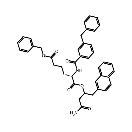 NC(=O)C[C@H](Cc1ccc2ccccc2c1)OC(=O)[C@H](CCCC(=O)OCc1ccccc1)NC(=O)c1cccc(Cc2ccccc2)c1